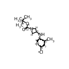 Cc1cc(Cl)ncc1NC1CN(C(=O)OC(C)(C)C)C1